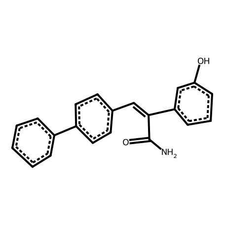 NC(=O)C(=Cc1ccc(-c2ccccc2)cc1)c1cccc(O)c1